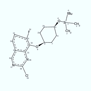 CC(C)(C)[Si](C)(C)O[C@H]1CC[C@@H](Oc2c(F)ccc3cnc(Cl)nc23)CC1